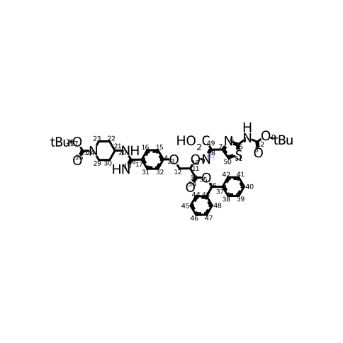 CC(C)(C)OC(=O)Nc1nc(/C(=N/OC(COc2ccc(C(=N)NC3CCN(C(=O)OC(C)(C)C)CC3)cc2)C(=O)OC(c2ccccc2)c2ccccc2)C(=O)O)cs1